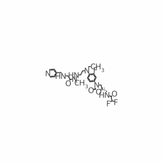 CCN(CCNN(C)C(=O)CNCc1ccncc1)c1ccc(N2C[C@H](CNC(=O)C(F)F)OC2=O)cc1F